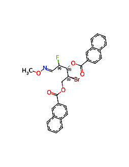 CON=C[C@@H](F)[C@H](OC(=O)c1ccc2ccccc2c1)[C@@H](Br)COC(=O)c1ccc2ccccc2c1